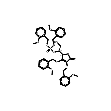 COc1ccccc1COC1=C(OCc2ccccc2OC)[C@@H]([C@H](CO)OP(=O)(OCc2ccccc2OC)OCc2ccccc2OC)OC1=O